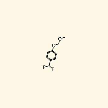 COCOc1ccc(C(F)F)cc1